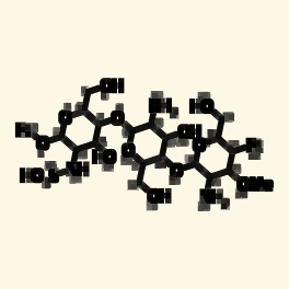 CCOC1OC(CO)C(OC2OC(CO)C(OC3OC(CO)C(CC)C(OC)C3N)C(O)C2N)C(O)C1NS(=O)(=O)O